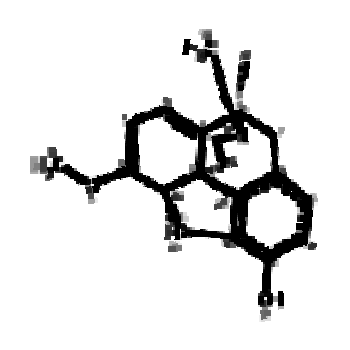 COC1=CC=C2[C@H]3Cc4ccc(O)c5c4[C@@]2(CCN3C)[C@H]1O5